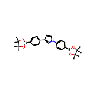 CC1(C)OB(c2ccc(-c3ccn(-c4ccc(B5OC(C)(C)C(C)(C)O5)cc4)c3)cc2)OC1(C)C